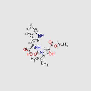 CCOC(=O)[C@@H](O)CN(CC(C)C)C(=O)N[C@@H](Cc1c[nH]c2ccccc12)C(=O)O